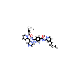 CC#CC(=O)N1CCCCC1C1=C2C=NC=C[N+]2(N)C(c2ccc(C(=O)Nc3cc(CCC)ccn3)cc2)=N1